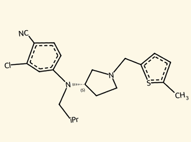 Cc1ccc(CN2CC[C@H](N(CC(C)C)c3ccc(C#N)c(Cl)c3)C2)s1